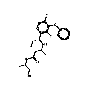 CC[C@@H](N[C@@H](C)CC(=O)N[C@H](C)CO)c1ccc(Cl)c(Oc2ccccc2)c1F